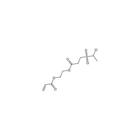 C=CC(=O)OCCOC(=O)CCS(=O)(=O)C(C)Cl